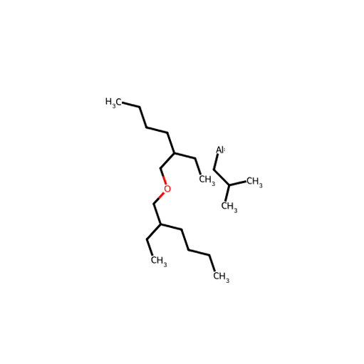 CC(C)[CH2][Al].CCCCC(CC)COCC(CC)CCCC